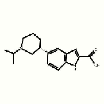 CC(C)N1CCC[C@H](c2ccc3[nH]c(C(=O)O)cc3c2)C1